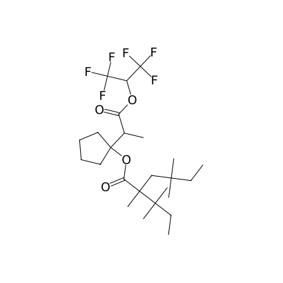 CCC(C)(C)CC(C)(C(=O)OC1(C(C)C(=O)OC(C(F)(F)F)C(F)(F)F)CCCC1)C(C)(C)CC